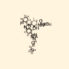 CC(C)(C)OC(=O)N[C@H]1CCC[C@@H](n2c(-c3ccccc3F)nc3ccc(-c4ncn(COCC[Si](C)(C)C)n4)cc32)[C@H]1O